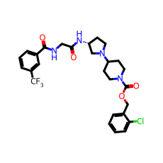 O=C(CNC(=O)c1cccc(C(F)(F)F)c1)N[C@@H]1CCN(C2CCN(C(=O)OCc3ccccc3Cl)CC2)C1